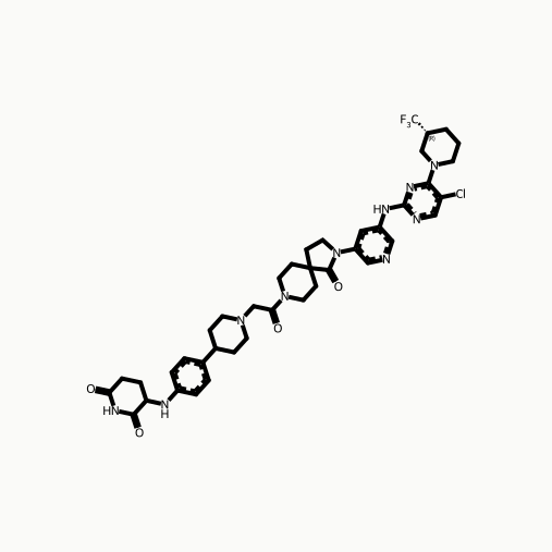 O=C1CCC(Nc2ccc(C3CCN(CC(=O)N4CCC5(CC4)CCN(c4cncc(Nc6ncc(Cl)c(N7CCC[C@@H](C(F)(F)F)C7)n6)c4)C5=O)CC3)cc2)C(=O)N1